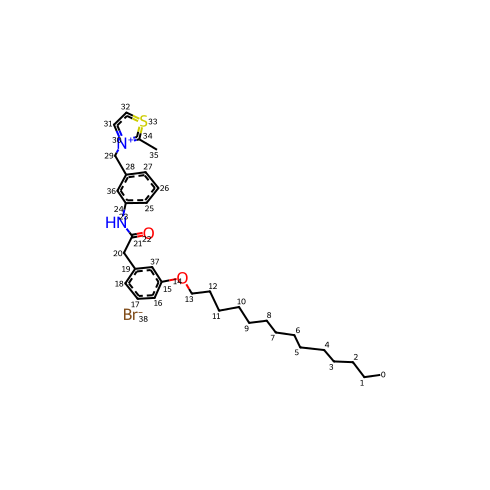 CCCCCCCCCCCCCCOc1cccc(CC(=O)Nc2cccc(C[n+]3ccsc3C)c2)c1.[Br-]